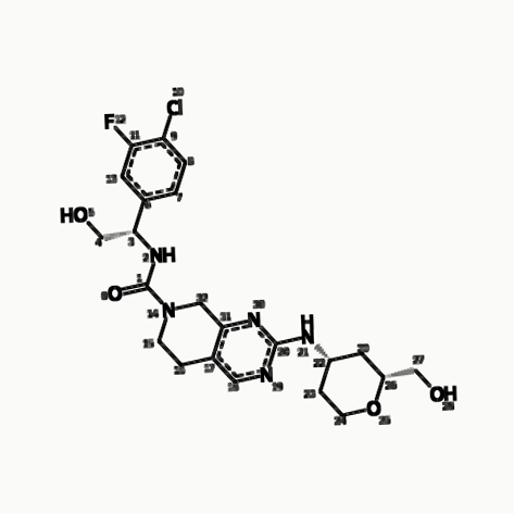 O=C(N[C@H](CO)c1ccc(Cl)c(F)c1)N1CCc2cnc(N[C@H]3CCO[C@@H](CO)C3)nc2C1